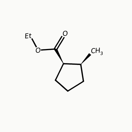 CCOC(=O)[C@@H]1CCC[C@@H]1C